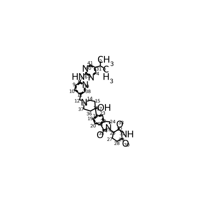 CC(C)c1cnc(Nc2ccc(CN3CCC(O)(c4ccc5c(c4)CN(C4CCC(=O)NC4=O)C5=O)CC3)cn2)nc1